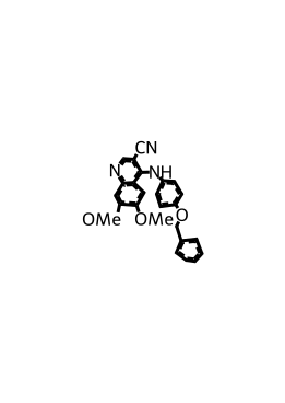 COc1cc2ncc(C#N)c(Nc3ccc(OCc4ccccc4)cc3)c2cc1OC